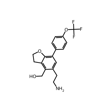 NCCc1cc(-c2ccc(OC(F)(F)F)cc2)c2c(c1CO)CCO2